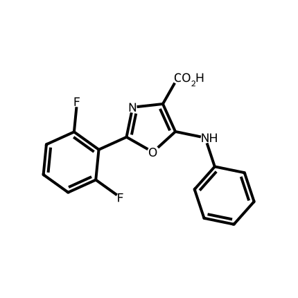 O=C(O)c1nc(-c2c(F)cccc2F)oc1Nc1ccccc1